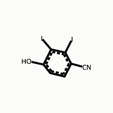 N#Cc1ccc(O)c(I)c1I